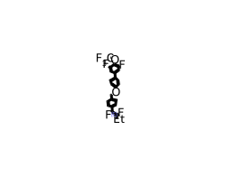 CC/C(F)=C(\F)c1ccc(COc2ccc(-c3cc(F)c(OC(F)(F)F)c(F)c3)cc2)cc1